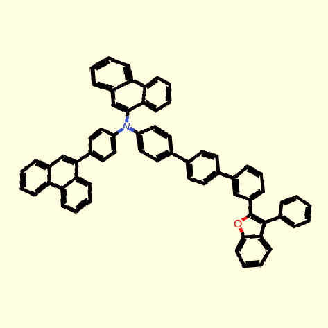 c1ccc(-c2c(-c3cccc(-c4ccc(-c5ccc(N(c6ccc(-c7cc8ccccc8c8ccccc78)cc6)c6cc7ccccc7c7ccccc67)cc5)cc4)c3)oc3ccccc23)cc1